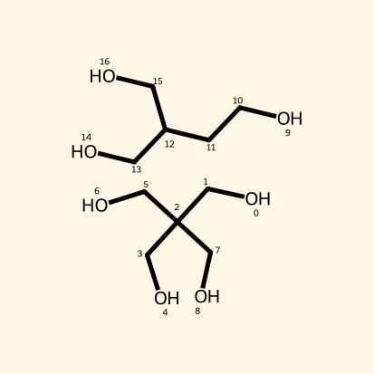 OCC(CO)(CO)CO.OCCC(CO)CO